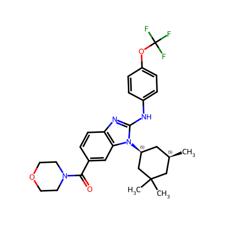 C[C@@H]1C[C@H](n2c(Nc3ccc(OC(F)(F)F)cc3)nc3ccc(C(=O)N4CCOCC4)cc32)CC(C)(C)C1